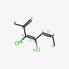 C=C(C)/C(Cl)=C(Cl)\C=C/C